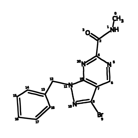 CNC(=O)c1ncc2c(Br)nn(Cc3ccccc3)c2n1